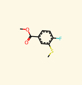 COC(=O)c1ccc(F)c(SC)c1